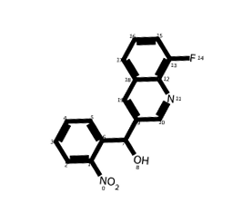 O=[N+]([O-])c1ccccc1C(O)c1cnc2c(F)cccc2c1